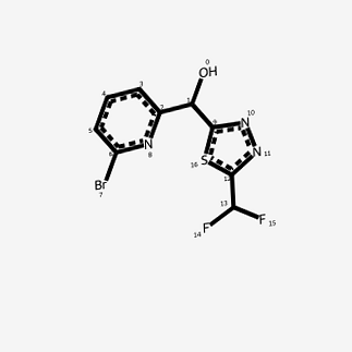 OC(c1cccc(Br)n1)c1nnc(C(F)F)s1